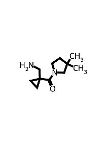 CC1(C)CCN(C(=O)C2(CN)CC2)C1